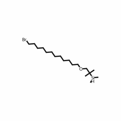 C[SiH](C)C(C)(C)COCCCCCCCCCCCCBr